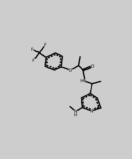 CNc1cc(C(C)NC(=O)C(C)Oc2ccc(C(F)(F)F)cc2)ccn1